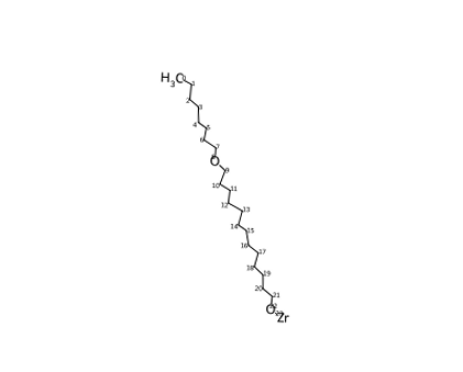 CCCCCCCCOCCCCCCCCCCCCC[O][Zr]